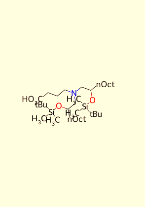 CCCCCCCCC(CN(CCCC(=O)O)CC(CCCCCCCC)O[Si](C)(C)C(C)(C)C)O[Si](C)(C)C(C)(C)C